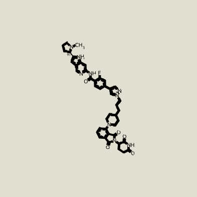 CN1CCC[C@@H]1c1cc2cnc(NC(=O)c3ccc(-c4cnn(CCCC5CCN(c6cccc7c6C(=O)N(C6CCC(=O)NC6=O)C7=O)CC5)c4)cc3F)cc2[nH]1